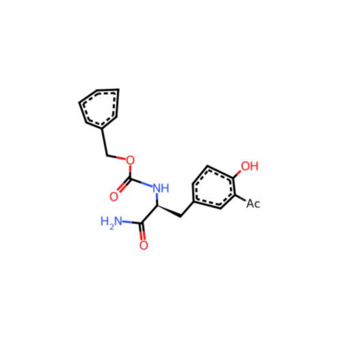 CC(=O)c1cc(C[C@H](NC(=O)OCc2ccccc2)C(N)=O)ccc1O